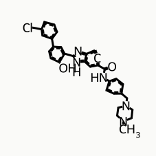 CN1CCN(Cc2ccc(NC(=O)c3ccc4nc(-c5cc(-c6cccc(Cl)c6)ccc5O)[nH]c4c3)cc2)CC1